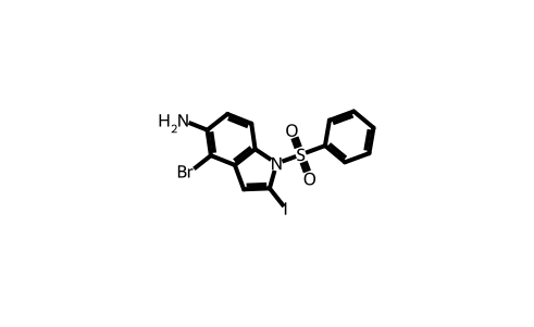 Nc1ccc2c(cc(I)n2S(=O)(=O)c2ccccc2)c1Br